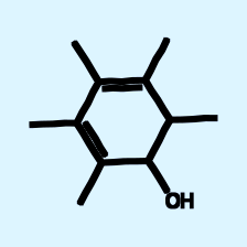 CC1=C(C)C(C)C(O)C(C)=C1C